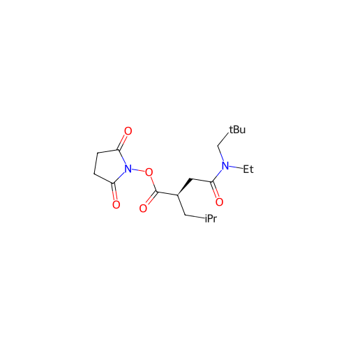 CCN(CC(C)(C)C)C(=O)C[C@@H](CC(C)C)C(=O)ON1C(=O)CCC1=O